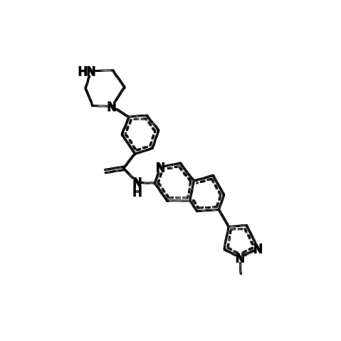 C=C(Nc1cc2cc(-c3cnn(C)c3)ccc2cn1)c1cccc(N2CCNCC2)c1